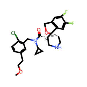 COCCc1ccc(Cl)c(CN(C(=O)[C@H]2CNCC[C@@]23OCc2cc(F)c(F)cc23)C2CC2)c1